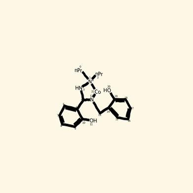 CCC[N+]1(CCC)NC(c2ccccc2O)[N]([CH]c2ccccc2O)[Co]1